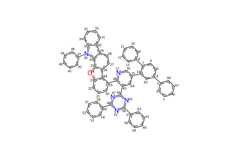 c1ccc(-c2ccc(-c3ccccc3)c(-c3cnc(-c4cccc5oc6c(ccc7c8ccccc8n(-c8ccccc8)c76)c45)c(-c4nc(-c5ccccc5)nc(-c5ccccc5)n4)c3)c2)cc1